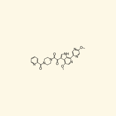 COc1cnc(-c2ncc(OC)c3c(C(=O)C(=O)N4CCN(C(=O)c5ccccn5)CC4)c[nH]c23)cn1